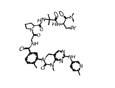 Cc1ccc(Nc2ncc3c(n2)N(C)C(=O)N(c2cc(C(=O)NCC(=O)N4CCCC4C(=O)NC(C)(C)C(=O)NC(CC(C)C)C(=O)N(C)C)ccc2C)C3)cn1